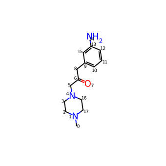 CN1CCN(CC(=O)Cc2cccc(N)c2)CC1